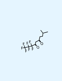 CC(C)CCC(=O)CC(=O)C(F)(F)C(F)(F)C(F)(F)F